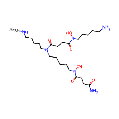 CC(=O)ONCCCCCN(CCCCCN(O)C(=O)CCC(N)=O)C(=O)CCC(=O)N(O)CCCCCN